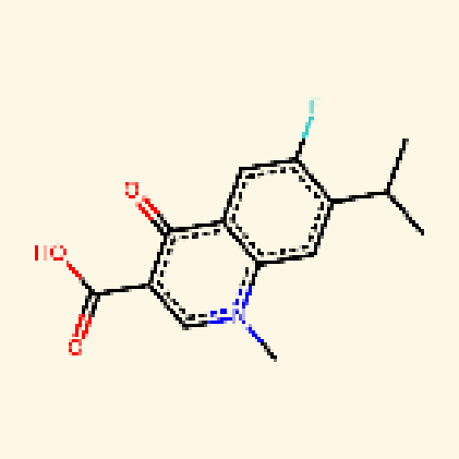 CC(C)c1cc2c(cc1F)c(=O)c(C(=O)O)cn2C